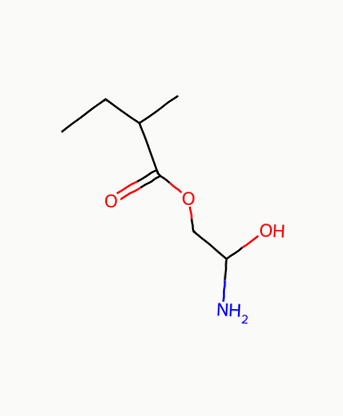 CCC(C)C(=O)OCC(N)O